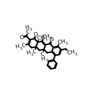 CCc1cc(-c2ccccc2)c2c(c1C)C(=O)C1=C(C)C3(C)C(=O)C(C(C)=O)=C(C)CC3(C)CC1(C)C2